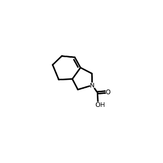 O=C(O)N1CC2=CCCCC2C1